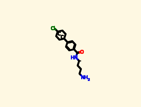 NCCC[CH]NC(=O)c1ccc(C23CCC(Cl)(CC2)CC3)cc1